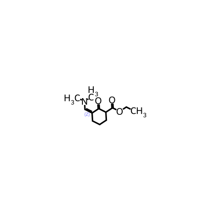 CCOC(=O)C1CCC/C(=C/N(C)C)C1=O